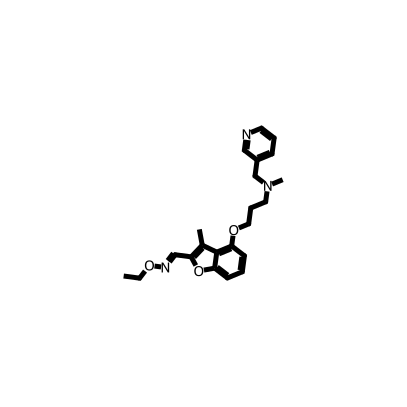 CCON=Cc1oc2cccc(OCCCN(C)Cc3cccnc3)c2c1C